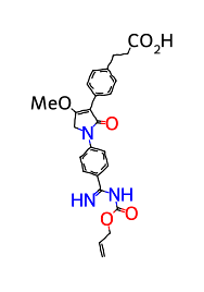 C=CCOC(=O)NC(=N)c1ccc(N2CC(OC)=C(c3ccc(CCC(=O)O)cc3)C2=O)cc1